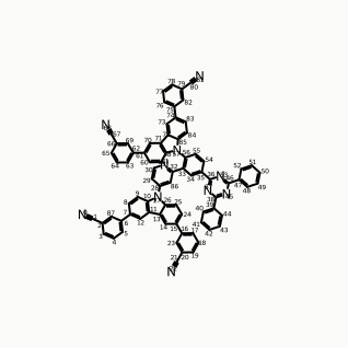 N#Cc1cccc(-c2ccc3c(c2)c2cc(-c4cccc(C#N)c4)ccc2n3-c2ccnc(-c3cc(-c4nc(-c5ccccc5)nc(-c5ccccc5)n4)ccc3-n3c4ccc(-c5cccc(C#N)c5)cc4c4cc(-c5cccc(C#N)c5)ccc43)c2)c1